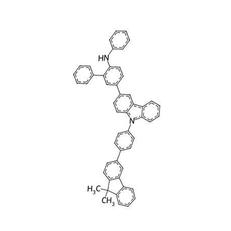 CC1(C)c2ccccc2-c2cc(-c3ccc(-n4c5ccccc5c5cc(-c6ccc(Nc7ccccc7)c(-c7ccccc7)c6)ccc54)cc3)ccc21